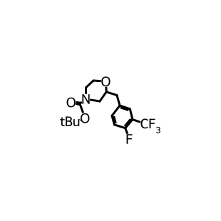 CC(C)(C)OC(=O)N1CCOC(Cc2ccc(F)c(C(F)(F)F)c2)C1